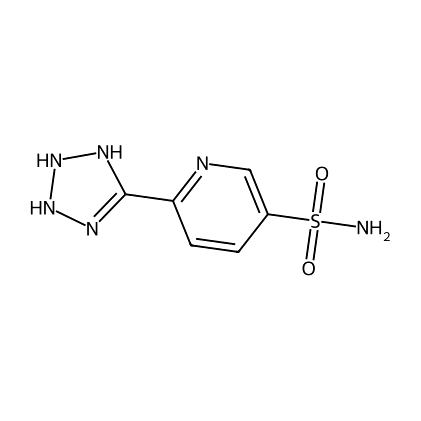 NS(=O)(=O)c1ccc(C2=NNNN2)nc1